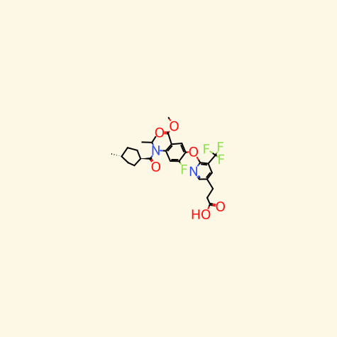 COC(=O)c1cc(Oc2ncc(CCC(=O)O)cc2C(F)(F)F)c(F)cc1N(C(=O)[C@H]1CC[C@H](C)CC1)C(C)C